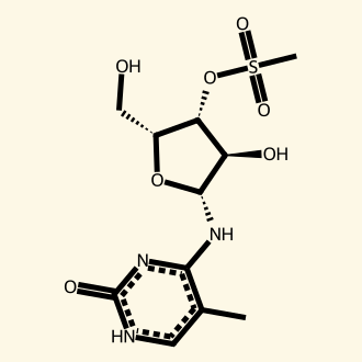 Cc1c[nH]c(=O)nc1N[C@@H]1O[C@H](CO)[C@H](OS(C)(=O)=O)[C@H]1O